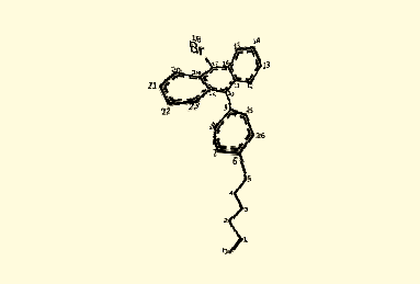 CCCCCCc1ccc(-c2c3ccccc3c(Br)c3ccccc23)cc1